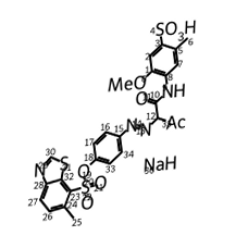 COc1cc(S(=O)(=O)O)c(C)cc1NC(=O)C(N=Nc1ccc(OS(=O)(=O)c2c(C)ccc3ncsc23)cc1)C(C)=O.[NaH]